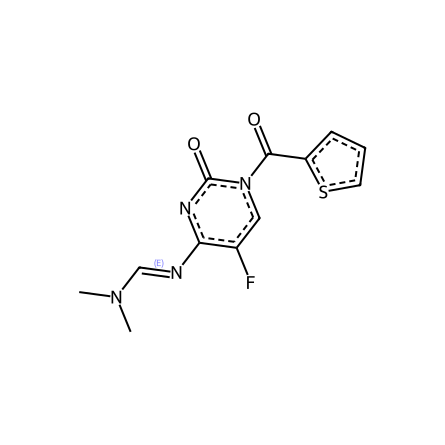 CN(C)/C=N/c1nc(=O)n(C(=O)c2cccs2)cc1F